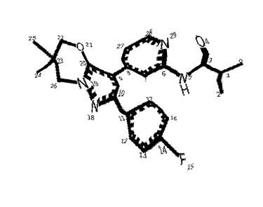 CC(C)C(=O)Nc1cc(-c2c(-c3ccc(F)cc3)nn3c2OCC(C)(C)C3)ccn1